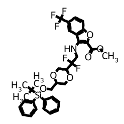 COC(=O)c1oc2ccc(C(F)(F)F)cc2c1NCC(F)(F)C1COC(CO[Si](c2ccccc2)(c2ccccc2)C(C)(C)C)CO1